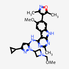 COCN1CC(n2nc(C3CC3)cc2Nc2nc(C)nc3[nH]c4cc(-c5c(C)noc5C)c(OC)cc4c23)C1